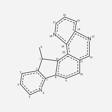 CC1c2cccnc2-c2ccc3cnc4cccnc4c3c21